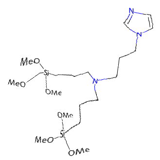 CO[Si](CCCN(CCCn1ccnc1)CCC[Si](OC)(OC)OC)(OC)OC